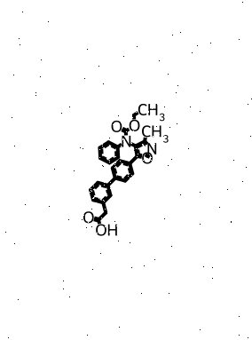 CCOC(=O)N(c1ccccc1)c1c(C)noc1-c1ccc(-c2cccc(CC(=O)O)c2)cc1